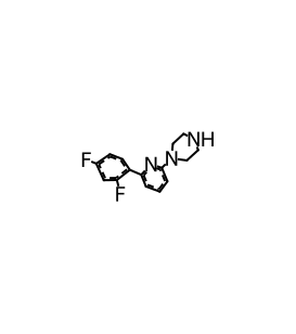 Fc1ccc(-c2cccc(N3CCNCC3)n2)c(F)c1